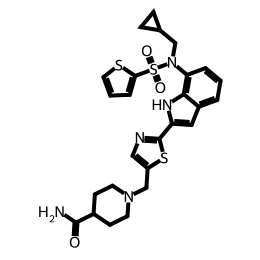 NC(=O)C1CCN(Cc2cnc(-c3cc4cccc(N(CC5CC5)S(=O)(=O)c5cccs5)c4[nH]3)s2)CC1